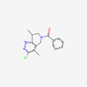 Cc1c(Cl)nnc2c1CN(C(=O)c1ccccc1)CC2C